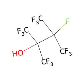 OC(C(F)(F)F)(C(F)(F)F)C(F)(C(F)(F)F)C(F)(F)F